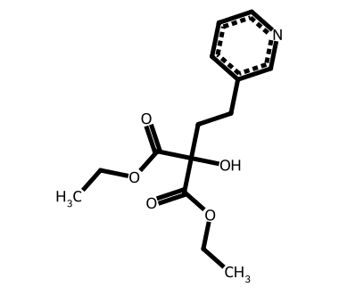 CCOC(=O)C(O)(CCc1cccnc1)C(=O)OCC